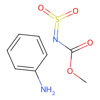 COC(=O)N=S(=O)=O.Nc1ccccc1